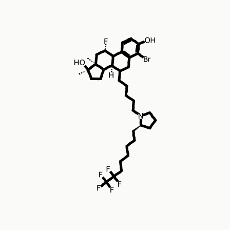 C[C@]12C[C@H](F)C3c4ccc(O)c(Br)c4CC(CCCCCN4CCC[C@H]4CCCCCCC(F)(F)C(F)(F)F)[C@H]3C1CC[C@@]2(C)O